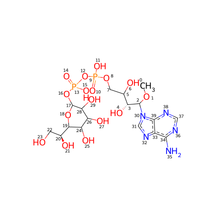 COC([C@H](O)C(O)COP(=O)(O)OP(=O)(O)OC1OC([C@@H](O)CO)C(O)C(O)C1O)n1cnc2c(N)ncnc21